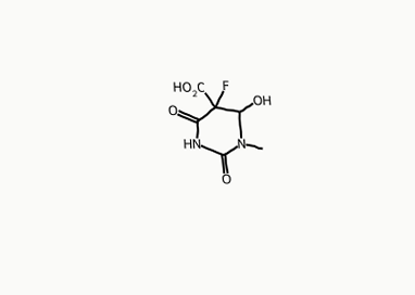 CN1C(=O)NC(=O)C(F)(C(=O)O)C1O